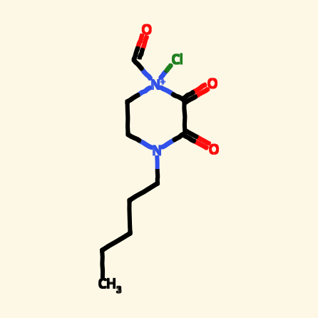 CCCCCN1CC[N+](Cl)(C=O)C(=O)C1=O